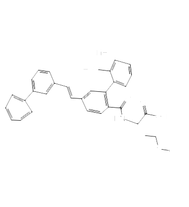 CSCC[C@H](NC(=O)c1ccc(C=Cc2cccc(-c3ccccc3)c2)cc1-c1ccccc1C)C(=O)O.[LiH]